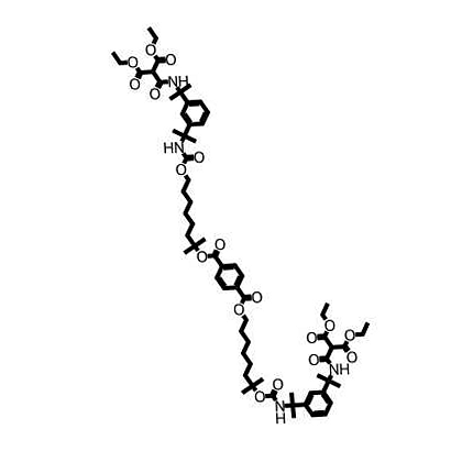 CCOC(=O)C(C(=O)NC(C)(C)c1cccc(C(C)(C)NC(=O)OCCCCCCC(C)(C)OC(=O)c2ccc(C(=O)OCCCCCCC(C)(C)OC(=O)NC(C)(C)c3cccc(C(C)(C)NC(=O)C(C(=O)OCC)C(=O)OCC)c3)cc2)c1)C(=O)OCC